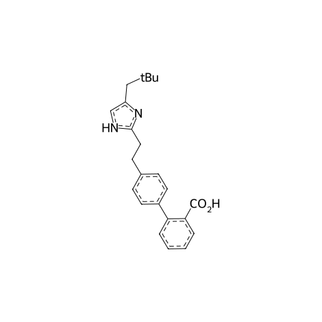 CC(C)(C)Cc1c[nH]c(CCc2ccc(-c3ccccc3C(=O)O)cc2)n1